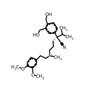 COc1ccc(CCN(C)CCC[C@](C#N)(c2ccc(CO)c(CO)c2)C(C)C)cc1OC